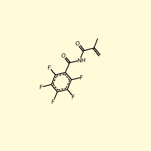 C=C(C)C(=O)NC(=O)c1c(F)c(F)c(F)c(F)c1F